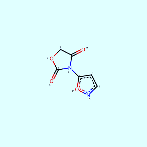 O=C1COC(=O)N1c1ccno1